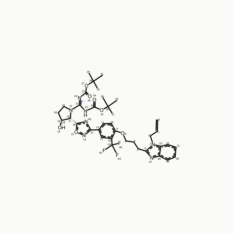 C=CCn1c(CCCOc2ccc(-c3noc([C@@H]4[C@@H](O)CCN4/C(=N/C(=O)OC(C)(C)C)NC(=O)OC(C)(C)C)n3)cc2C(F)(F)F)nc2ccccc21